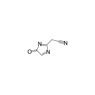 N#CCC1=NC(=O)C=N1